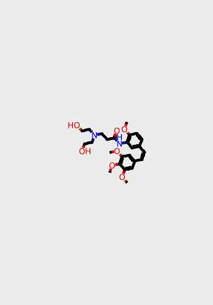 COc1ccc(/C=C\c2cc(OC)c(OC)c(OC)c2)cc1NC(=O)CCN(CCO)CCO